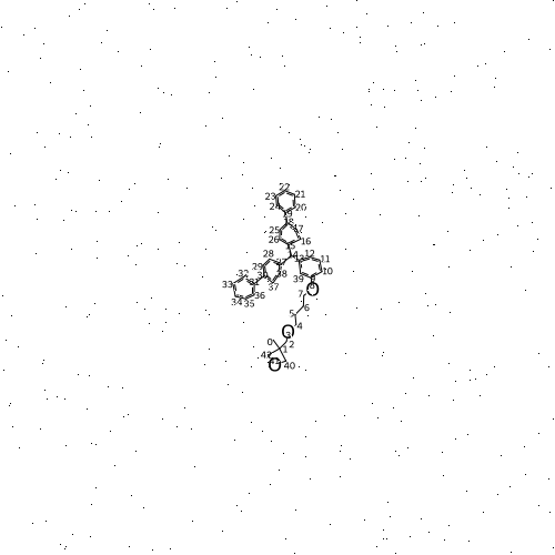 CC1(COCCCCOc2cccc(C(c3ccc(-c4ccccc4)cc3)c3ccc(-c4ccccc4)cc3)c2)COC1